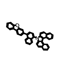 c1ccc2c(c1)ccc1c2c2c3ccccc3ccc2n1-c1ccc(-c2ccc3c(c2)oc2ccccc23)c2ccccc12